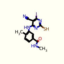 CNC(=O)c1ccc(C)c(Nc2nc(S)nc(I)c2C#N)c1